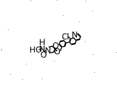 O=C(NO)N1CCC2(CC1)OCc1cc(-c3ccc4cccnc4c3Cl)ccc1O2